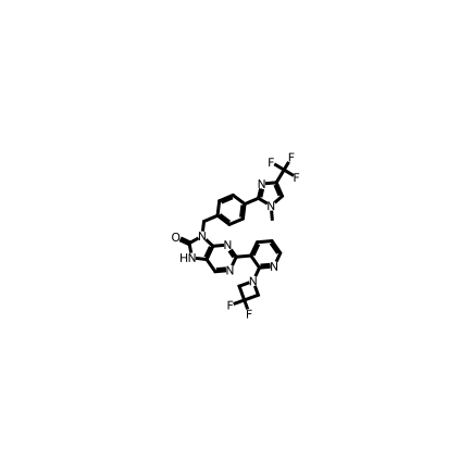 Cn1cc(C(F)(F)F)nc1-c1ccc(Cn2c(=O)[nH]c3cnc(-c4cccnc4N4CC(F)(F)C4)nc32)cc1